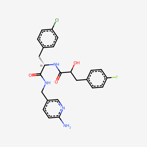 Nc1ccc(CNC(=O)[C@H](Cc2ccc(Cl)cc2)NC(=O)C(O)Cc2ccc(F)cc2)cn1